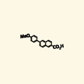 COc1ccc(-c2ccc3cc(C(=O)O)ccc3c2)cc1